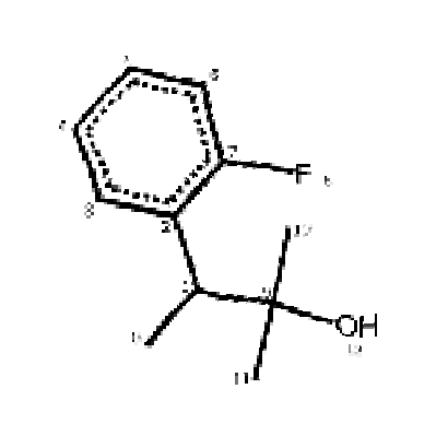 CC(c1ccccc1F)C(C)(C)O